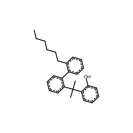 CCCCCCc1ccccc1-c1ccccc1C(C)(C)c1ccccc1O